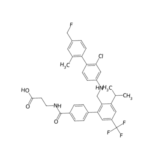 Cc1cc(CF)ccc1-c1ccc(NCc2c(-c3ccc(C(=O)NCCC(=O)O)cc3)cc(C(F)(F)F)cc2C(C)C)cc1Cl